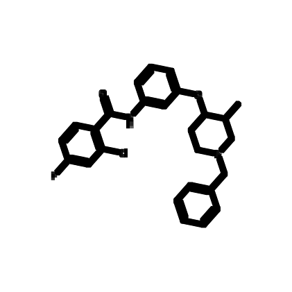 CC1CN(Cc2ccccc2)CCC1Oc1cccc(NC(=O)c2ccc(F)cc2Cl)c1